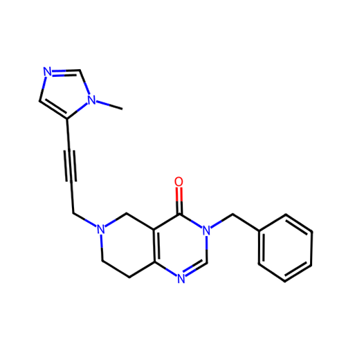 Cn1cncc1C#CCN1CCc2ncn(Cc3ccccc3)c(=O)c2C1